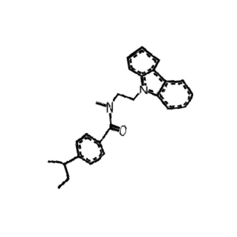 CCC(C)c1ccc(C(=O)N(C)CCn2c3ccccc3c3ccccc32)cc1